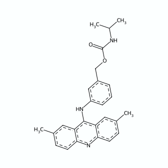 Cc1ccc2nc3ccc(C)cc3c(Nc3cccc(COC(=O)NC(C)C)c3)c2c1